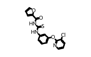 O=C(NC(=S)Nc1cccc(Oc2ncccc2Cl)c1)c1ccco1